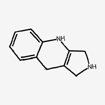 [CH]1C2=C(CNC2)Nc2ccccc21